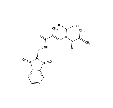 C=C(C)C(=O)N(C=C(C)C(=O)NCN1C(=O)c2ccccc2C1=O)C(O)C(=O)O